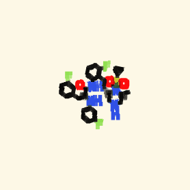 C[C@H]1CNC[C@H](CCc2c(F)cccc2NC(=O)[C@H](Cc2cccc(F)c2)Nc2cccc(F)c2)N1S(=O)(=O)C1CC1